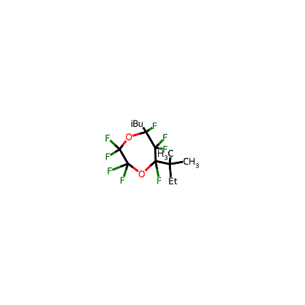 CCC(C)C1(F)OC(F)(F)C(F)(F)OC(F)(C(C)(C)CC)C1(F)F